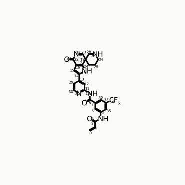 C=CC(=O)Nc1cc(C(=O)Nc2cc(-c3cc4c([nH]3)C3(C=NC4=O)CCCNC3)ccn2)cc(C(F)(F)F)c1